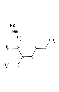 Br.Br.Br.CCCCC(CC)[CH2][Sn]